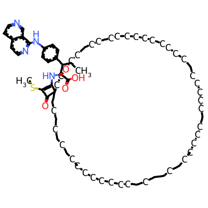 CCC(c1ccc(Nc2nccc3ccncc23)cc1)[C@H](NC1=C(SC)C(=O)C12CCCCCCCCCCCCCCCCCCCCCCCCCCCCCCCCCCCCCCCCCCCCCCCCOCC2)C(=O)O